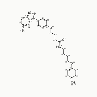 CCc1ncc2nnn(-c3ccc(OCCCC(=O)NCCCCOC4=CCC(C)C=C4)cc3)c2n1